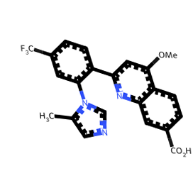 COc1cc(-c2ccc(C(F)(F)F)cc2-n2cncc2C)nc2cc(C(=O)O)ccc12